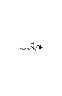 C/C=C/C=CNC(=O)O